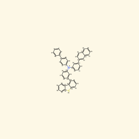 c1ccc(-c2ccc(N(c3cccc(-c4ccc5ccccc5c4)c3)c3cccc(-c4cccc5sc6ccccc6c45)c3)cc2)cc1